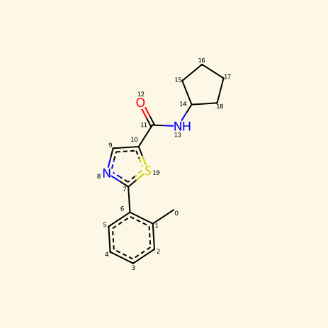 Cc1ccccc1-c1ncc(C(=O)NC2CCCC2)s1